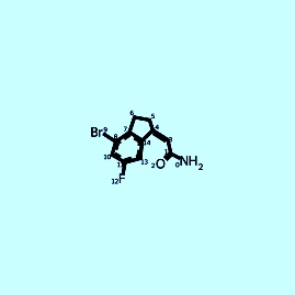 NC(=O)/C=C1/CCc2c(Br)cc(F)cc21